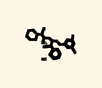 Cc1cc(C)cc(COC(CC(N)C(Cl)N2CCCCC2)C(=O)c2ccccc2)c1.Cl